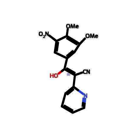 COc1cc(/C(O)=C(\C#N)c2ccccn2)cc([N+](=O)[O-])c1OC